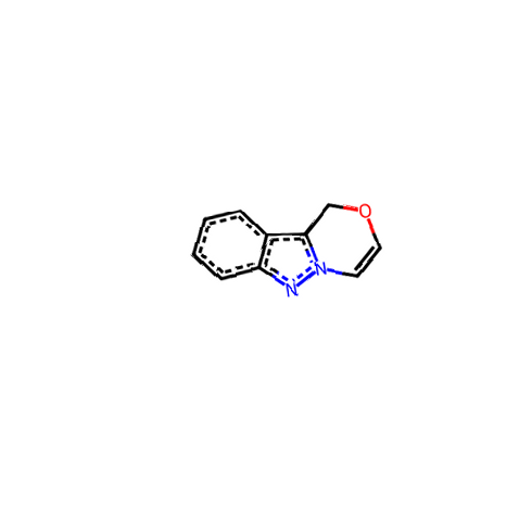 C1=Cn2nc3ccccc3c2CO1